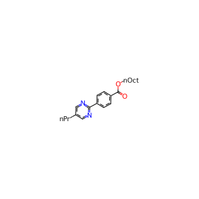 CCCCCCCCOC(=O)c1ccc(-c2ncc(CCC)cn2)cc1